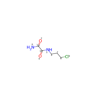 NC(=O)C(=O)NCCCCl